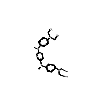 CC(C)CN(CC(C)C)c1ccc(N(C)c2ccc(N(C)c3ccc(N(CC(C)C)CC(C)C)cc3)cc2)cc1